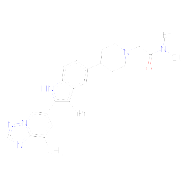 CCN(CC)C(=O)CN1CCC(c2ccc3[nH]c(-c4cc(C)c5ncnn5c4)c(C(C)C)c3c2)CC1